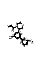 C=CC(=O)N1CCOC[C@H]1c1cc(Cl)cc(-c2nccc(OC)n2)c1